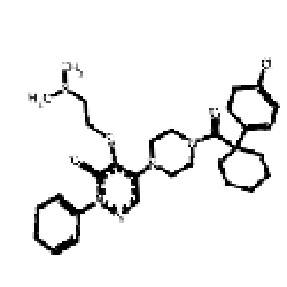 CN(C)CCSc1c(N2CCN(C(=O)C3(C4=CC=C(Cl)CC4)CCCCC3)CC2)cnn(C2=CCCC=C2)c1=O